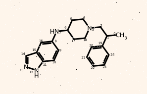 CC(CN1CCC(Nc2ccc3[nH]ncc3c2)CC1)c1ccccc1